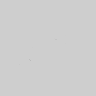 Cc1cc2c(Cc3cccc(NSN)c3)nn(C)c(=O)c2cc1C